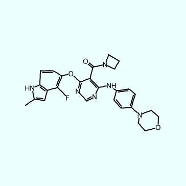 Cc1cc2c(F)c(Oc3ncnc(Nc4ccc(N5CCOCC5)cc4)c3C(=O)N3CCC3)ccc2[nH]1